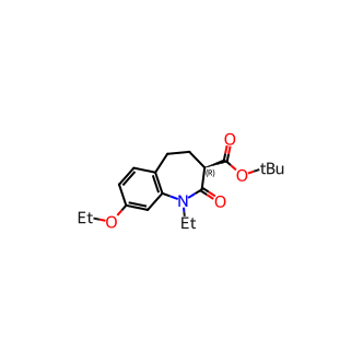 CCOc1ccc2c(c1)N(CC)C(=O)[C@H](C(=O)OC(C)(C)C)CC2